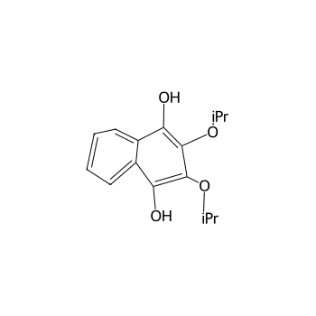 CC(C)Oc1c(OC(C)C)c(O)c2ccccc2c1O